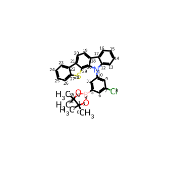 CC1(C)OB(c2cc(Cl)cc(-n3c4ccccc4c4ccc5c6ccccc6sc5c43)c2)OC1(C)C